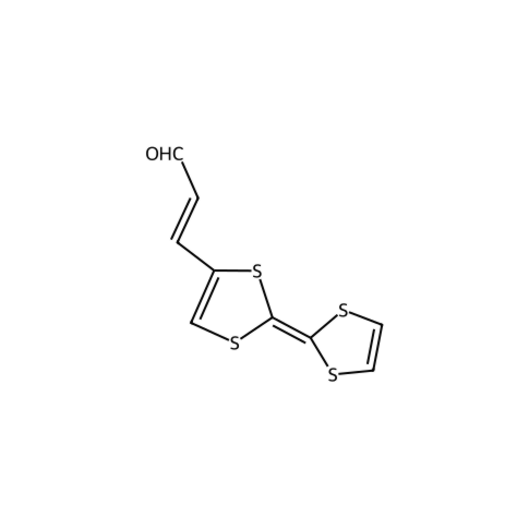 O=CC=CC1=CSC(=C2SC=CS2)S1